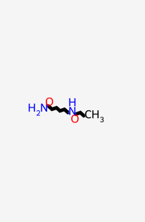 CCCC(=O)NCCCCCC(N)=O